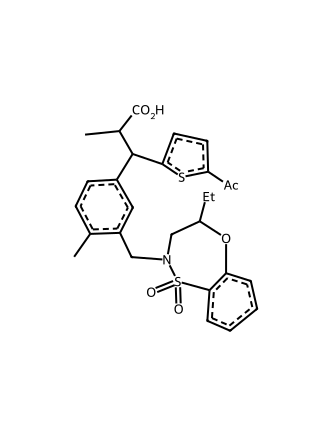 CCC1CN(Cc2cc(C(c3ccc(C(C)=O)s3)C(C)C(=O)O)ccc2C)S(=O)(=O)c2ccccc2O1